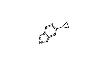 c1ncn2cc(C3CC3)ncc12